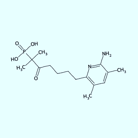 Cc1cc(C)c(CCCCC(=O)C(C)(C)P(=O)(O)O)nc1N